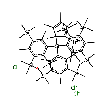 CC1=C(C)C(C)([Si](c2c(C)c([Si](C)(C)C)c(C)c([Si](C)(C)C)c2[Si](C)(C)C)(c2c(C)c([Si](C)(C)C)c(C)c([Si](C)(C)C)c2[Si](C)(C)C)c2c(C)c([Si](C)(C)C)c(C)c([Si](C)(C)C)c2[Si](C)(C)C)[C]([Ti+3])=C1C.[Cl-].[Cl-].[Cl-]